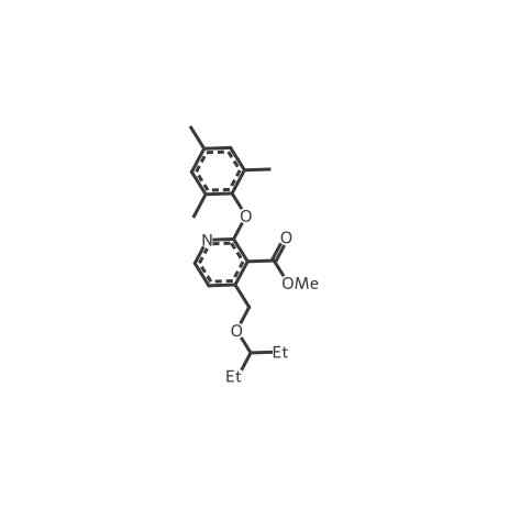 CCC(CC)OCc1ccnc(Oc2c(C)cc(C)cc2C)c1C(=O)OC